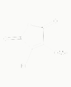 CCC1=C(OC)C(=O)OC1=O